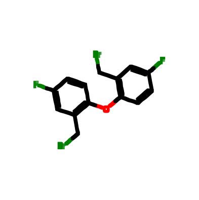 Fc1ccc(Oc2ccc(F)cc2CBr)c(CBr)c1